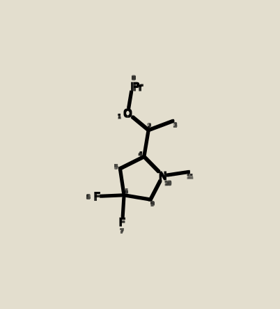 CC(C)OC(C)C1CC(F)(F)CN1C